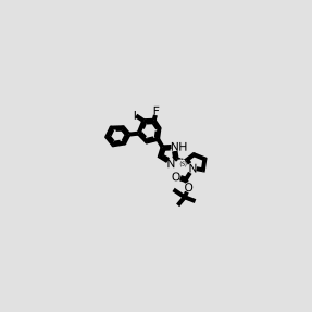 CC(C)(C)OC(=O)N1CCC[C@H]1c1ncc(-c2cc(F)c(I)c(-c3ccccc3)c2)[nH]1